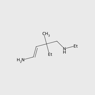 CCNCC(C)(C=CN)CC